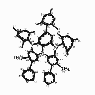 Cc1cc(C)c(-c2cc3c4c(c2)N(c2c(C)cc(C)cc2C)c2cc(C(C)(C)C)c(-c5ccccc5)cc2B4c2cc(-c4ccccc4)c(C(C)(C)C)cc2N3c2c(C)cc(C)cc2C)c(C)c1